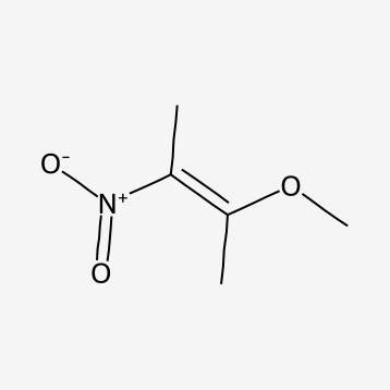 CO/C(C)=C(\C)[N+](=O)[O-]